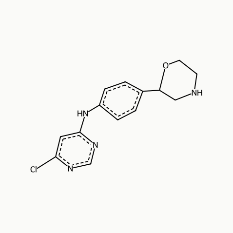 Clc1cc(Nc2ccc(C3CNCCO3)cc2)ncn1